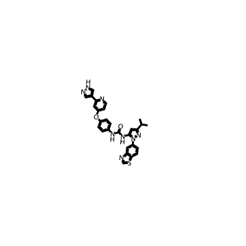 CC(C)c1cc(NC(=O)Nc2ccc(Oc3ccnc(-c4cn[nH]c4)c3)cc2)n(-c2ccc3scnc3c2)n1